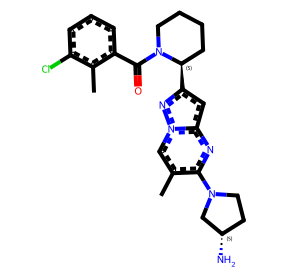 Cc1cn2nc([C@@H]3CCCCN3C(=O)c3cccc(Cl)c3C)cc2nc1N1CC[C@H](N)C1